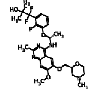 COc1cc2nc(C)nc(N[C@@H](C)Oc3cccc(C(F)(F)C(C)(C)O)c3F)c2cc1OC[C@@H]1CN(C)CCO1